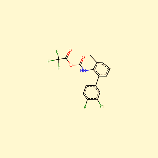 Cc1cccc(-c2ccc(F)c(Cl)c2)c1NC(=O)OC(=O)C(F)(F)F